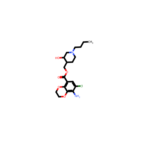 CCCCN1CCC(COC(=O)c2cc(Cl)c(N)c3c2OCCO3)C(O)C1